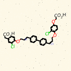 O=C(O)COc1ccc(OC/C=C\c2ccc(-c3ccc(/C=C/COc4ccc(CC(=O)O)cc4Cl)cc3)cc2)c(Cl)c1